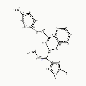 C=N/N=C(/c1cc(C)on1)N1Cc2ccccc2C(OCc2ccc(C=O)cn2)=N1